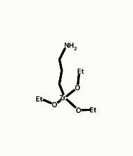 CC[O][Zr]([CH2]CCN)([O]CC)[O]CC